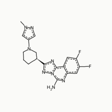 Cn1cc(N2CCC[C@H](c3nc4c5cc(F)c(F)cc5nc(N)n4n3)C2)cn1